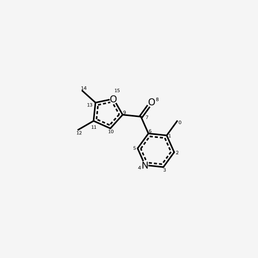 Cc1ccncc1C(=O)c1cc(C)c(C)o1